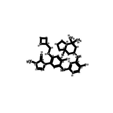 Cn1nnn(-c2cc(Nc3ncc(F)c(N[C@@H]4C[C@@H]5CCCN5C(C)(C)C4)n3)c(F)cc2OCC2CCO2)c1=O